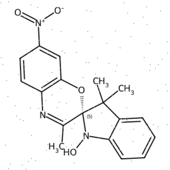 CC1=Nc2ccc([N+](=O)[O-])cc2O[C@]12N(O)c1ccccc1C2(C)C